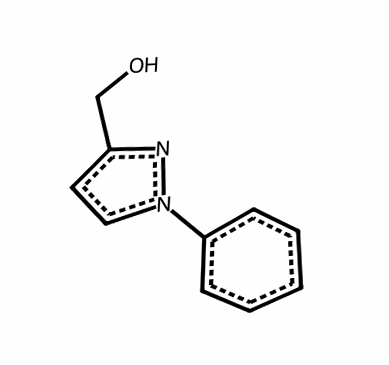 OCc1ccn(-c2ccccc2)n1